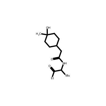 CCC(=O)C(NC(=O)CC1CCC(C)(O)CC1)C(C)(C)C